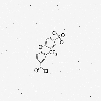 O=C(Cl)c1ccc(Oc2ccc(S(=O)(=O)Cl)cc2)c(C(F)(F)F)c1